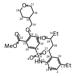 CCc1cnc(NS(=O)(=O)c2ccc(OCC3CCOCC3)c(C(=O)OC)c2)c(CCC(O)CC)c1